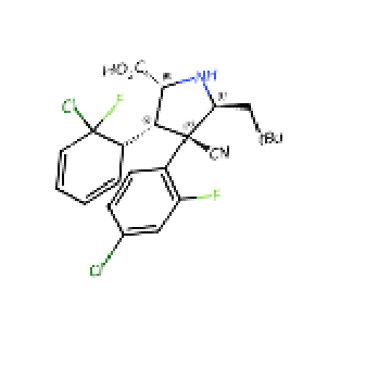 CC(C)(C)C[C@@H]1N[C@@H](C(=O)O)[C@@H](C2C=CC=CC2(F)Cl)[C@@]1(C#N)c1ccc(Cl)cc1F